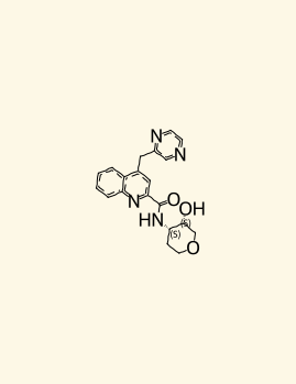 O=C(N[C@H]1CCOC[C@H]1O)c1cc(Cc2cnccn2)c2ccccc2n1